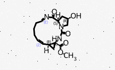 COC(=O)[C@@]12C[C@@H]1/C=C\CCC/C=N/C(=O)[C@@H]1C[C@@H](O)CN1C(=O)N2